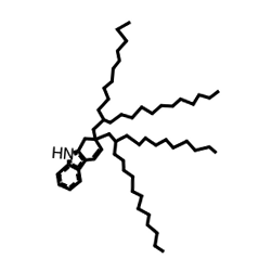 CCCCCCCCCCCCC(CCCCCCCCCC)CC1(CC(CCCCCCCCCC)CCCCCCCCCCCC)C=Cc2c([nH]c3ccccc23)C1